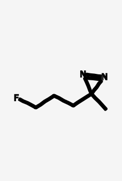 CC1(CCCF)N=N1